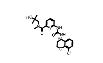 CN(CC(C)(C)O)C(=O)c1cccc(NC(=O)N[C@H]2CCOc3c(Cl)cccc32)n1